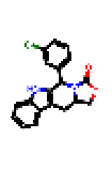 O=C1OCC2Cc3c([nH]c4ccccc34)C(c3cccc(Cl)c3)N12